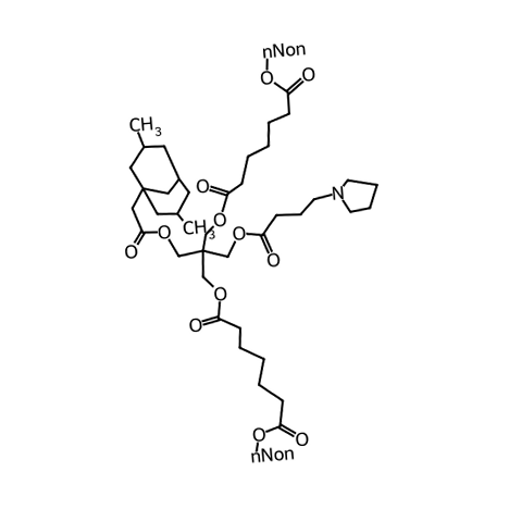 CCCCCCCCCOC(=O)CCCCCC(=O)OCC(COC(=O)CCCCCC(=O)OCCCCCCCCC)(COC(=O)CCCN1CCCC1)COC(=O)CC12CC(C)CC(CC(C)C1)C2